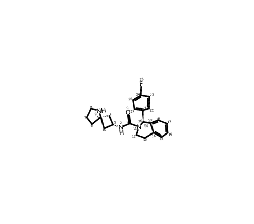 O=C(N[C@H]1C[C@@]2(CCCN2)C1)N1CCc2ccccc2[C@@H]1c1ccc(F)cc1